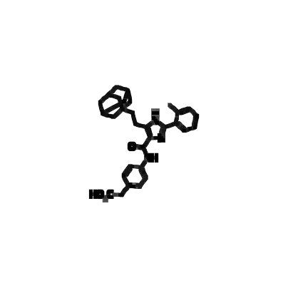 Cc1ccccc1-c1nc(C(=O)Nc2ccc(CC(=O)O)cc2)c(CCC23CC4CC(CC(C4)C2)C3)[nH]1